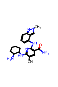 Cn1cc2c(Nc3nc(NC4CCCCC4N)c(C#N)cc3C(N)=O)cccc2n1